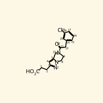 O=C(O)CCc1cc2n(n1)CCN(C(=O)Cc1cccc(Cl)c1)C2